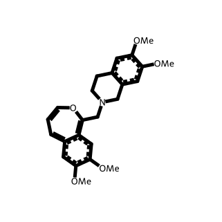 COc1cc2c(cc1OC)CN(CC1=c3cc(OC)c(OC)cc3=CC=CO1)CC2